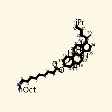 CCCCCCCC/C=C\CCCCCCCC(=O)O[C@H]1CC[C@@]2(C)[C@@H](CC[C@@H]3[C@@H]2CC[C@]2(C)[C@@H]([C@H](C)CCCC(C)C)CC[C@@H]32)C1